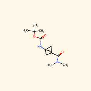 CN(C)C(=O)C12CC(NC(=O)OC(C)(C)C)(C1)C2